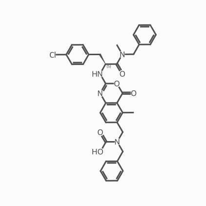 Cc1c(CN(Cc2ccccc2)C(=O)O)ccc2nc(N[C@@H](Cc3ccc(Cl)cc3)C(=O)N(C)Cc3ccccc3)oc(=O)c12